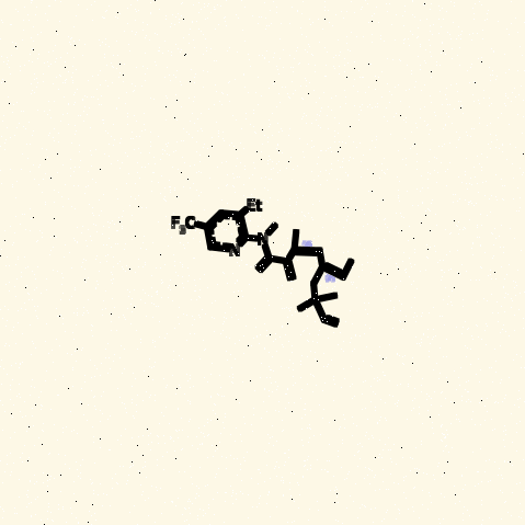 C=CC(C)(C)CC(=C/C)/C=C(/C)C(=C)C(=C)N(C)c1ncc(C(F)(F)F)cc1CC